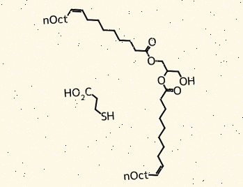 CCCCCCCC/C=C\CCCCCCCC(=O)OCC(CO)OC(=O)CCCCCCC/C=C\CCCCCCCC.O=C(O)CCS